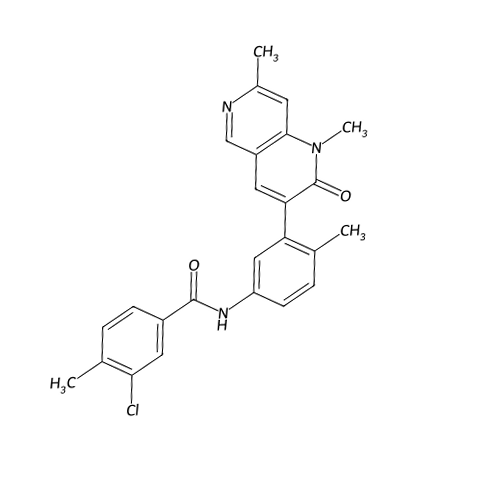 Cc1cc2c(cn1)cc(-c1cc(NC(=O)c3ccc(C)c(Cl)c3)ccc1C)c(=O)n2C